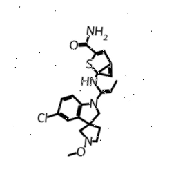 CC=C(NC12C=C1C=C(C(N)=O)S2)N1CC2(CCN(OC)C2)c2cc(Cl)ccc21